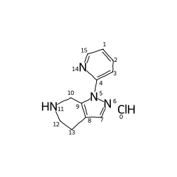 Cl.c1ccc(-n2ncc3c2CNCC3)nc1